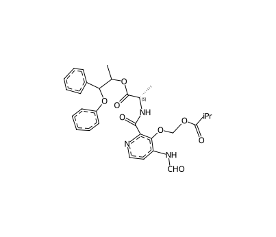 CC(C)C(=O)OCOc1c(NC=O)ccnc1C(=O)N[C@@H](C)C(=O)OC(C)C(Oc1ccccc1)c1ccccc1